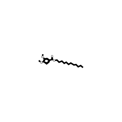 CCCCCCCCCCCCOC(=O)c1ccc(OC)c(OC)c1